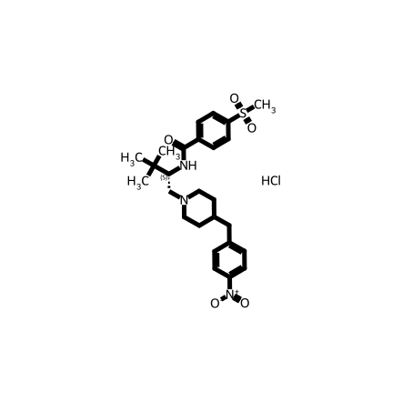 CC(C)(C)[C@@H](CN1CCC(Cc2ccc([N+](=O)[O-])cc2)CC1)NC(=O)c1ccc(S(C)(=O)=O)cc1.Cl